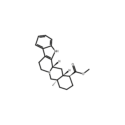 COC(=O)[C@H]1CCC[C@@]2(C)CN3CCc4c([nH]c5ccccc45)[C@@H]3C[C@H]12